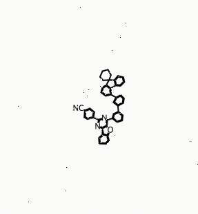 N#Cc1ccc(-c2nc(-c3cccc(-c4cccc(-c5cccc6c5-c5ccccc5C65CCCCC5)c4)c3)c3oc4ccccc4c3n2)cc1